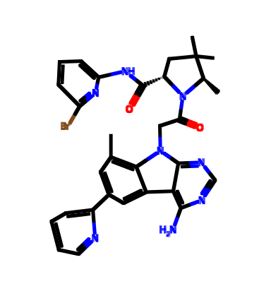 Cc1cc(-c2ccccn2)cc2c3c(N)ncnc3n(CC(=O)N3[C@H](C(=O)Nc4cccc(Br)n4)CC(C)(C)[C@H]3C)c12